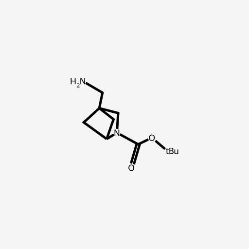 CC(C)(C)OC(=O)N1CC2(CN)CC1C2